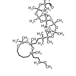 CO[SiH2]CC[Si]1(C)CCCCO[Si](C)(C)O[Si](C)(CC[Si](C)(C)[Si](C)(C)O[Si](C)(C)O[Si](C)(C)O[Si](C)(C)O[Si](C)(C)O[Si](C)(C)O[Si](C)(C)C=O)O1